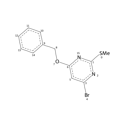 CSc1nc(Br)cc(OCc2ccccc2)n1